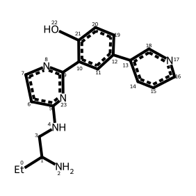 CCC(N)CNc1ccnc(-c2cc(-c3cccnc3)ccc2O)n1